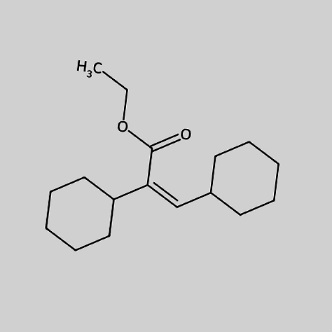 CCOC(=O)C(=CC1CCCCC1)C1CCCCC1